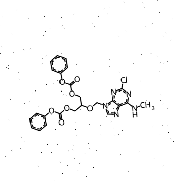 CNc1nc(Cl)nc2c1ncn2COC(COC(=O)Oc1ccccc1)COC(=O)Oc1ccccc1